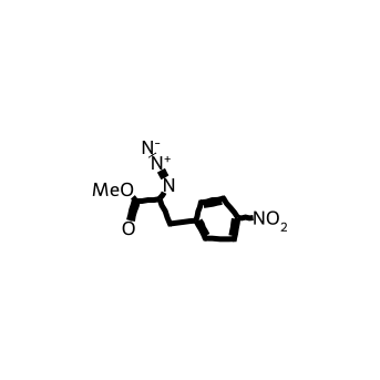 COC(=O)C(Cc1ccc([N+](=O)[O-])cc1)N=[N+]=[N-]